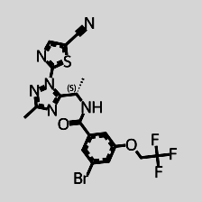 Cc1nc([C@H](C)NC(=O)c2cc(Br)cc(OCC(F)(F)F)c2)n(-c2ncc(C#N)s2)n1